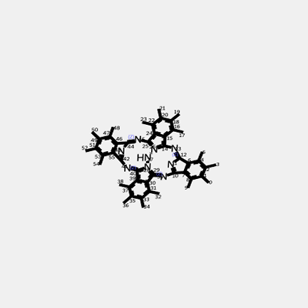 Cc1c(C)c(C)c2c(c1C)C1=NC/2=N\c2c3c(C)c(C)c(C)c(C)c3c3n2Nn2/c(c4c(C)c(C)c(C)c(C)c4/c2=N/C2=NC(=N\3)/c3c(C)c(C)c(C)c(C)c32)=N\1